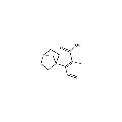 C=CC(=C(C)C(=O)O)C12CCC(CC1)C2